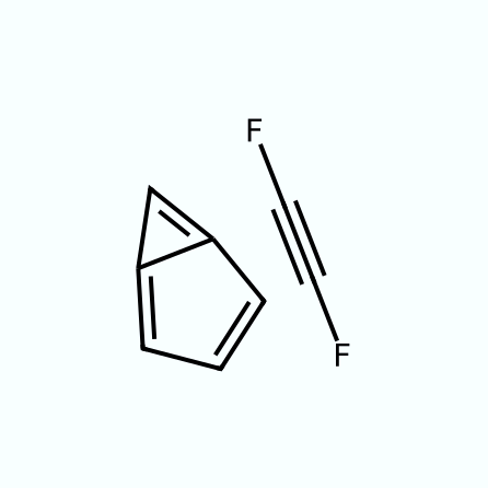 FC#CF.c1cc2cc-2c1